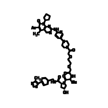 CC(=O)c1c(C)c2cnc(Nc3ccc(N4CCN(C(=O)COCCOCC(=O)N[C@H](C(=O)N5C[C@H](O)C[C@H]5C(=O)NCc5ccc(-c6scnc6C)cc5)C(C)(C)C)CC4)cn3)nc2n(C2CCCC2)c1=O